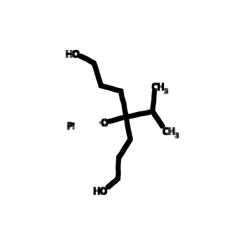 CC(C)C([O])(CCCO)CCCO.[P]